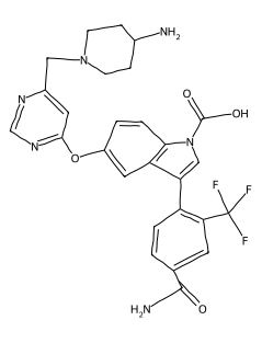 NC(=O)c1ccc(-c2cn(C(=O)O)c3ccc(Oc4cc(CN5CCC(N)CC5)ncn4)cc23)c(C(F)(F)F)c1